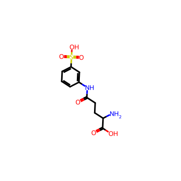 NC(CCC(=O)Nc1cccc(S(=O)(=O)O)c1)C(=O)O